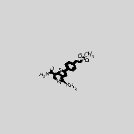 CS(=O)(=O)CCc1ccc(-c2cc3c(N)ncc(C(N)=O)c3s2)cc1